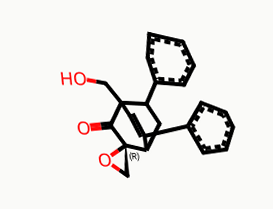 O=C1C2(CO)C=C(c3ccccc3)C(CC2c2ccccc2)[C@@]12CO2